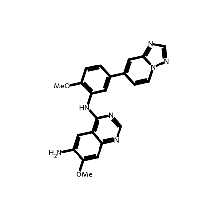 COc1cc2ncnc(Nc3cc(-c4ccn5ncnc5c4)ccc3OC)c2cc1N